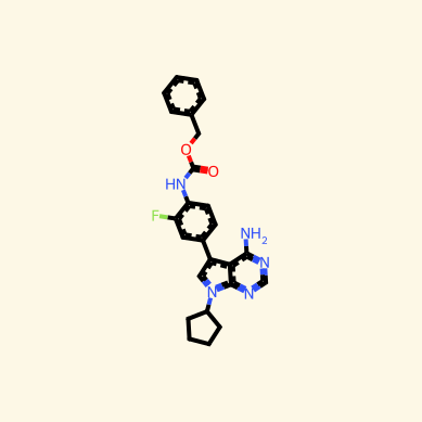 Nc1ncnc2c1c(-c1ccc(NC(=O)OCc3ccccc3)c(F)c1)cn2C1CCCC1